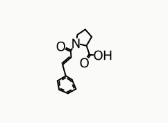 O=C(O)C1CCCN1C(=O)C=Cc1ccccc1